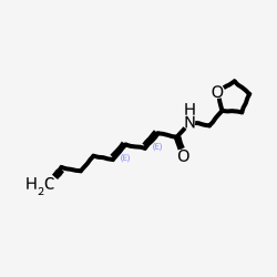 C=CCC/C=C/C=C/C(=O)NCC1CCCO1